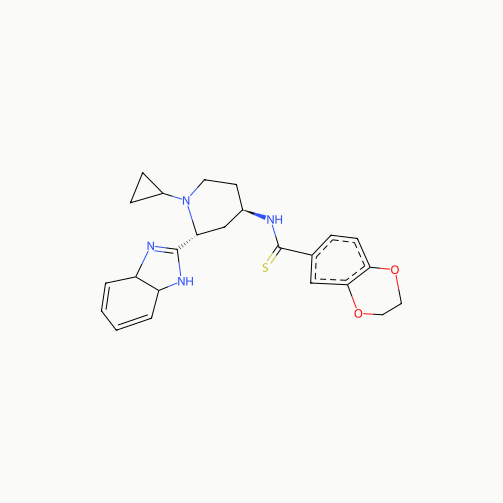 S=C(N[C@@H]1CCN(C2CC2)[C@@H](C2=NC3C=CC=CC3N2)C1)c1ccc2c(c1)OCCO2